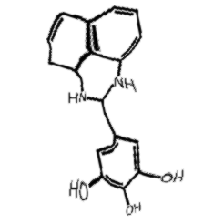 Oc1cc(C2Nc3cccc4c3C(CC=C4)N2)cc(O)c1O